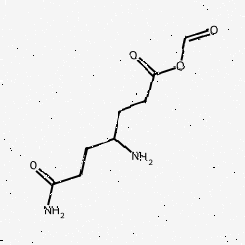 NC(=O)CCC(N)CCC(=O)OC=O